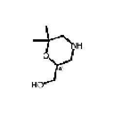 CC1(C)CNC[C@@H](CO)O1